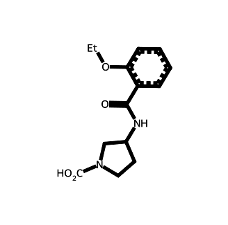 CCOc1ccccc1C(=O)NC1CCN(C(=O)O)C1